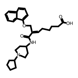 O=C(O)CCCC/C=C(\COc1cccc2ccccc12)C(=O)NC1CCN(C2CCCC2)CC1